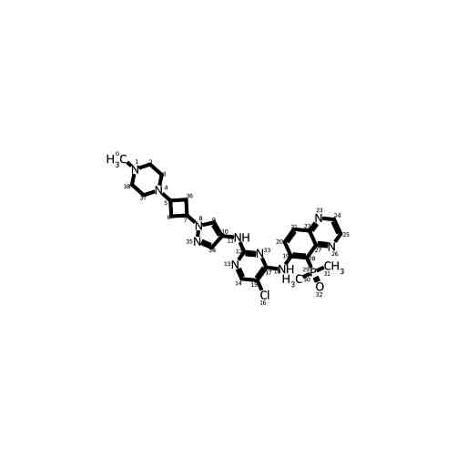 CN1CCN(C2CC(n3cc(Nc4ncc(Cl)c(Nc5ccc6nccnc6c5P(C)(C)=O)n4)cn3)C2)CC1